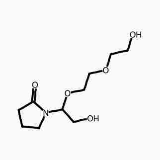 O=C1CCCN1C(CO)OCCOCCO